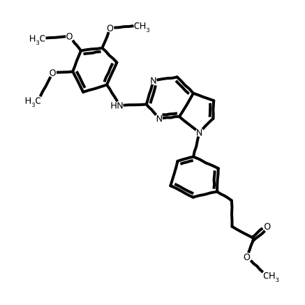 COC(=O)CCc1cccc(-n2ccc3cnc(Nc4cc(OC)c(OC)c(OC)c4)nc32)c1